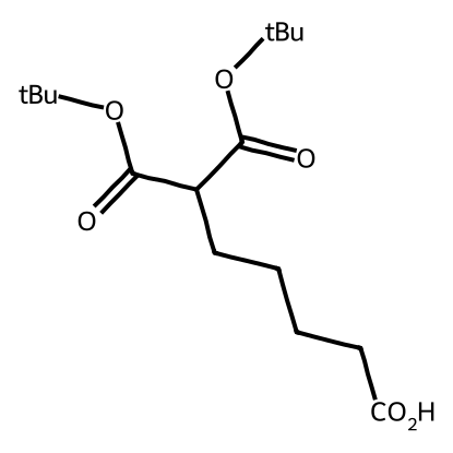 CC(C)(C)OC(=O)C(CCCCC(=O)O)C(=O)OC(C)(C)C